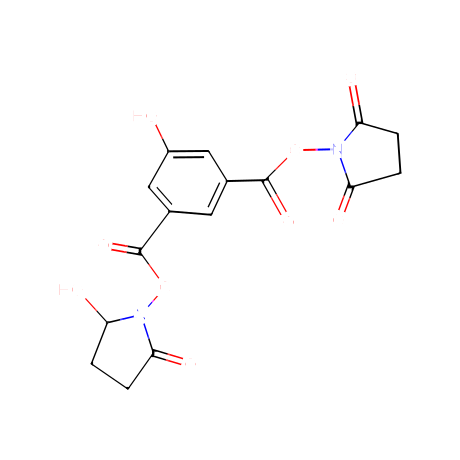 O=C(ON1C(=O)CCC1=O)c1cc(O)cc(C(=O)ON2C(=O)CCC2O)c1